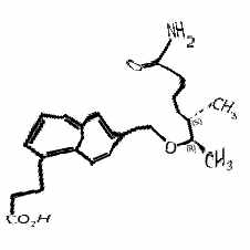 C[C@@H](CCC(N)=O)[C@@H](C)OCc1ccc2c(CCC(=O)O)cccc2c1